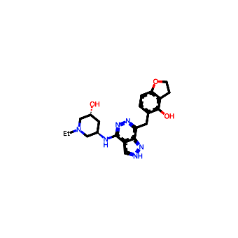 CCN1C[C@H](O)C[C@@H](Nc2nnc(Cc3ccc4c(c3O)CCO4)c3n[nH]cc23)C1